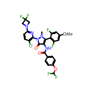 COc1cc(F)c(-c2c(NC(=O)c3ccc(OC(F)F)cc3)c(=O)n(-c3nc(N4CC(F)(F)C4)ccc3Cl)n2C)c(F)c1